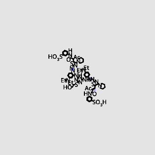 CCN(CC)c1ccc(/N=N/c2nc(N3CCCCC3)c(/C=C(\C(C)=O)C(=O)Nc3cccc(S(=O)(=O)O)c3)s2)c(Nc2nc(Nc3cc(N(CC)CC)ccc3/N=N/c3nc(N4CCCCC4)c(C(C(C)=O)C(=O)Nc4cccc(S(=O)(=O)O)c4)s3)nc(SCCO)n2)c1